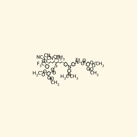 C=CC(=O)Oc1cc(OC(=O)C=C)cc(C(=O)OCCSC2=C(/C=C/c3ccc(N(c4ccc(N(C)C)cc4)c4ccc(N(CC)CCOC(=O)c5cc(OC(=O)C=C)cc(OC(=O)C=C)c5)cc4)cc3)CC(C)(C)C/C2=C\C=C\C2=C(C#N)C(=C(C#N)C#N)OC2(c2ccccc2)C(F)(F)F)c1